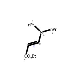 CCCN(/C=C/C(=O)OCC)CCC